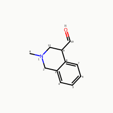 CN1Cc2ccccc2C(C=O)C1